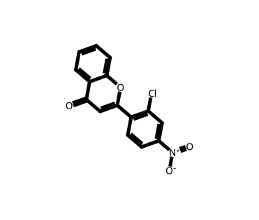 O=c1cc(-c2ccc([N+](=O)[O-])cc2Cl)oc2ccccc12